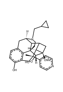 CO[C@@]12CC(C3[C@H]4Cc5ccc(O)c6c5[C@@]3(CCN4CC3CC3)[C@H]1O6)[C@@H]2[C@@](C)(O)c1ccncc1